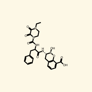 CCN1CCN(C(=O)NC(Cc2ccccc2)C(=O)N[C@H]2Cc3cccc(C(=O)O)c3OB2O)C(=O)C1=O